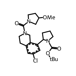 COC1CCN(C(=O)N2CCc3cc(Cl)cc(C4CCCN4C(=O)OC(C)(C)C)c3C2)C1